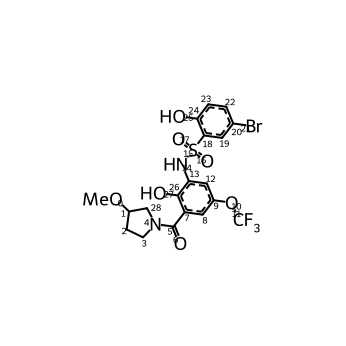 COC1CCN(C(=O)c2cc(OC(F)(F)F)cc(NS(=O)(=O)c3cc(Br)ccc3O)c2O)C1